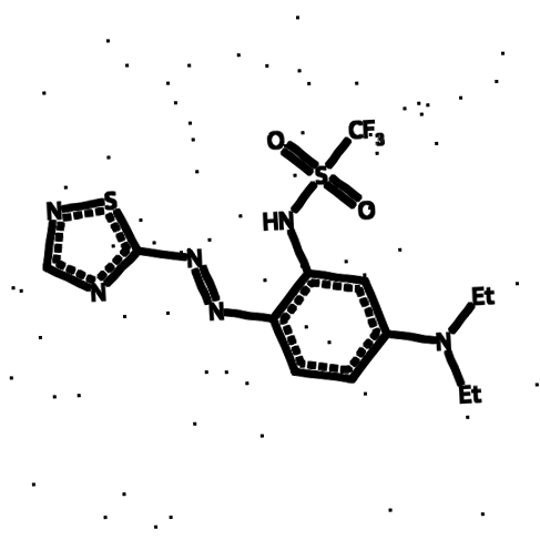 CCN(CC)c1ccc(N=Nc2ncns2)c(NS(=O)(=O)C(F)(F)F)c1